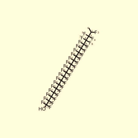 CC(F)C(F)(F)C(F)(F)C(F)(F)C(F)(F)C(F)(F)C(F)(F)C(F)(F)C(F)(F)C(F)(F)C(F)(F)C(F)(F)C(F)(F)C(F)(F)C(F)(F)C(F)(F)C(F)(F)C(F)(F)C(O)(F)F